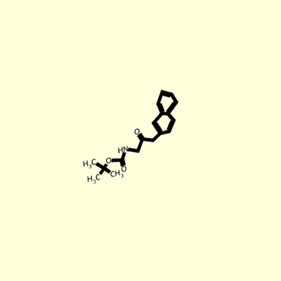 CC(C)(C)OC(=O)NCC(=O)Cc1ccc2ccccc2c1